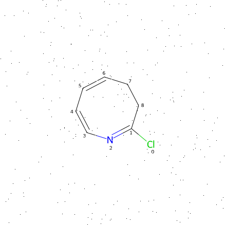 ClC1=NC=CC=CCC1